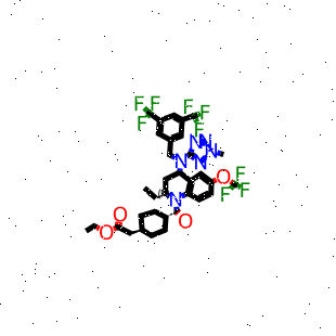 CCOC(=O)C[C@H]1CC[C@H](C(=O)N2c3ccc(OC(F)(F)F)cc3C(N(Cc3cc(C(F)(F)F)cc(C(F)(F)F)c3)c3nnn(C)n3)C[C@H]2CC)CC1